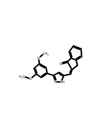 COc1cc(OC)cc(-c2cc(C=C3Cc4ccccc4C3=O)[nH]n2)c1